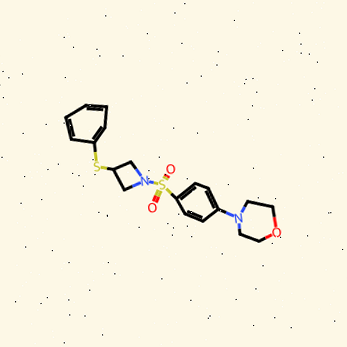 O=S(=O)(c1ccc(N2CCOCC2)cc1)N1CC(Sc2ccccc2)C1